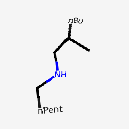 CCCCCCNCC(C)CCCC